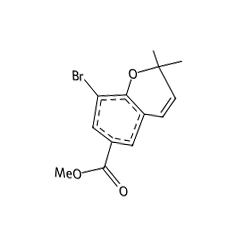 COC(=O)c1cc(Br)c2c(c1)C=CC(C)(C)O2